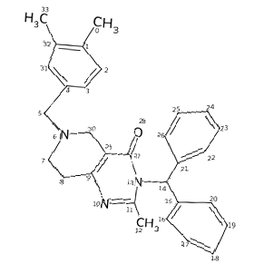 Cc1ccc(CN2CCc3nc(C)n(C(c4ccccc4)c4ccccc4)c(=O)c3C2)cc1C